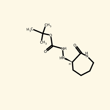 CC(C)(C)OC(=O)NN[C@@H]1CCCCNC1=O